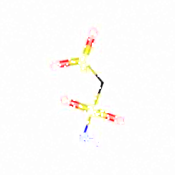 NS(=O)(=O)C[SH](=O)=O